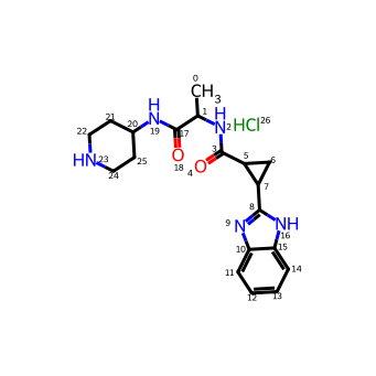 CC(NC(=O)C1CC1c1nc2ccccc2[nH]1)C(=O)NC1CCNCC1.Cl